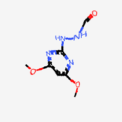 COc1cc(OC)nc(NNC=O)n1